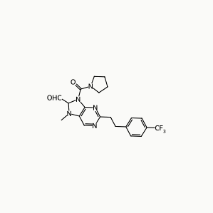 CN1c2cnc(CCc3ccc(C(F)(F)F)cc3)nc2N(C(=O)N2CCCC2)C1C=O